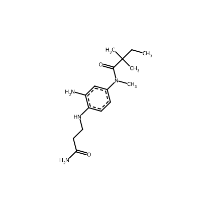 CCC(C)(C)C(=O)N(C)c1ccc(NCCC(N)=O)c(N)c1